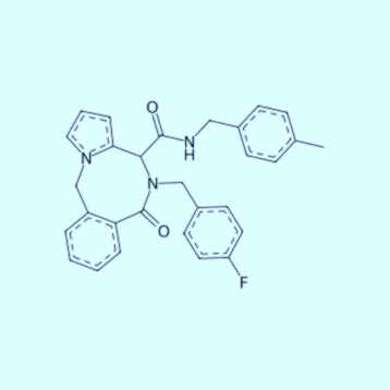 Cc1ccc(CNC(=O)C2c3cccn3Cc3ccccc3C(=O)N2Cc2ccc(F)cc2)cc1